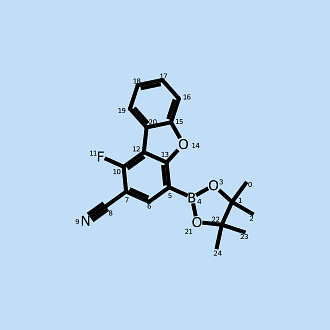 CC1(C)OB(c2cc(C#N)c(F)c3c2oc2ccccc23)OC1(C)C